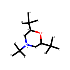 CC(C)(C)C1CN(C(C)(C)C)CC(C(C)(C)C)O1